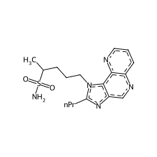 CCCc1nc2cnc3cccnc3c2n1CCCC(C)S(N)(=O)=O